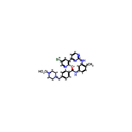 Cc1ccc(NC(=O)c2ccc(CN3CCN(C(=O)O)CC3)cc2)cc1Nc1nccc(-c2cncc(Br)c2)n1